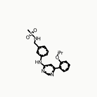 CC(C)Oc1ccccc1-c1cc(Nc2cccc(CNS(C)(=O)=O)c2)ncn1